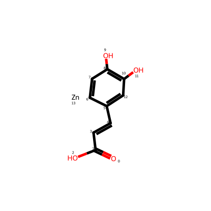 O=C(O)C=Cc1ccc(O)c(O)c1.[Zn]